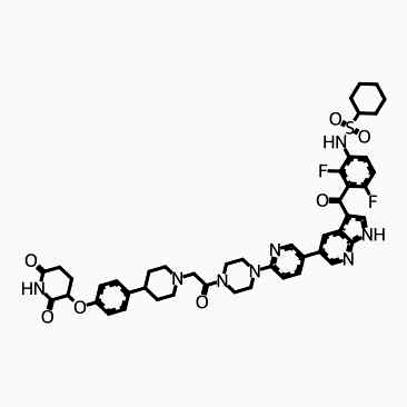 O=C1CCC(Oc2ccc(C3CCN(CC(=O)N4CCN(c5ccc(-c6cnc7[nH]cc(C(=O)c8c(F)ccc(NS(=O)(=O)C9CCCCC9)c8F)c7c6)cn5)CC4)CC3)cc2)C(=O)N1